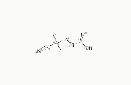 CC(C)(C#N)N=NC(=O)O